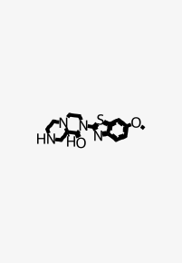 COc1ccc2nc(N3CCN4CCNC[C@@H]4C3=O)sc2c1